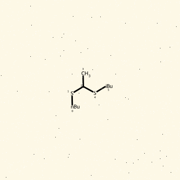 CCCCS[C](C)SC(C)CC